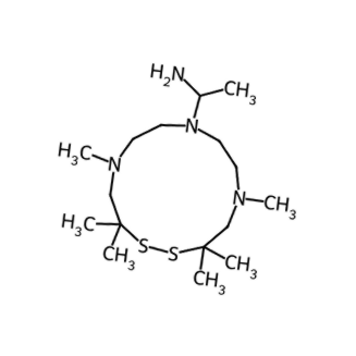 CC(N)N1CCN(C)CC(C)(C)SSC(C)(C)CN(C)CC1